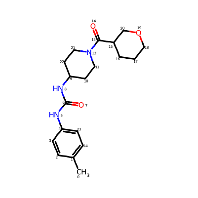 Cc1ccc(NC(=O)NC2CCN(C(=O)C3CCCOC3)CC2)cc1